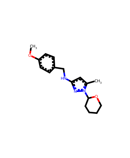 COc1ccc(CNc2cc(C)n(C3CCCCO3)n2)cc1